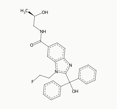 C[C@@H](O)CNC(=O)c1ccc2nc(C(O)(c3ccccc3)c3ccccc3)n(CCF)c2c1